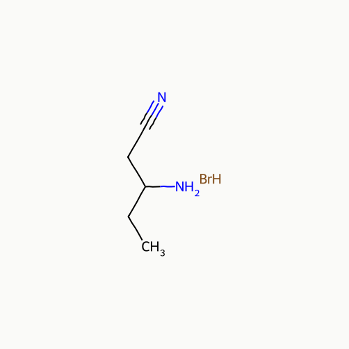 Br.CCC(N)CC#N